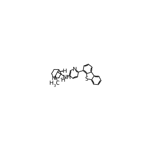 C[C@@H]1[C@@H](Nc2ccc(-c3cccc4c3sc3ccccc34)nc2)C2CCN1CC2